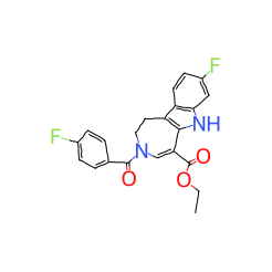 CCOC(=O)C1=CN(C(=O)c2ccc(F)cc2)CCc2c1[nH]c1cc(F)ccc21